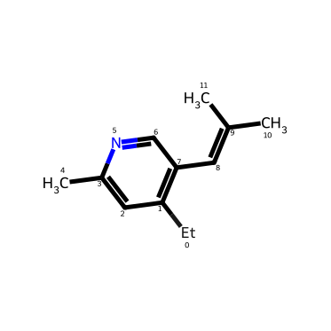 CCc1cc(C)ncc1C=C(C)C